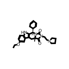 CCOc1ccc2[nH]c3c(c2c1)C[C@@]1(C)C(=O)N(CCN2CCCC2)C(=O)N1[C@@H]3C1C=CC=CC1